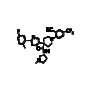 Cc1ccc(F)cc1-c1ccc(C2(C(=O)N[C@@H]3CCN(C)C3)CCN(c3ccc(C(F)(F)F)cc3C#N)CC2)cn1